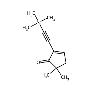 CC1(C)CC=C(C#C[Si](C)(C)C)C1=O